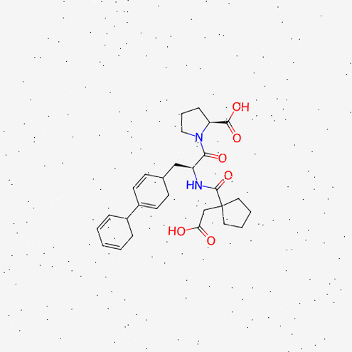 O=C(O)CC1(C(=O)N[C@@H](CC2C=CC(C3C=CC=CC3)=CC2)C(=O)N2CCC[C@H]2C(=O)O)CCCC1